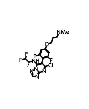 CNCCCOc1cc(F)c(-c2c(Cl)nc3ncnn3c2N[C@H](C)C(F)F)c(F)c1